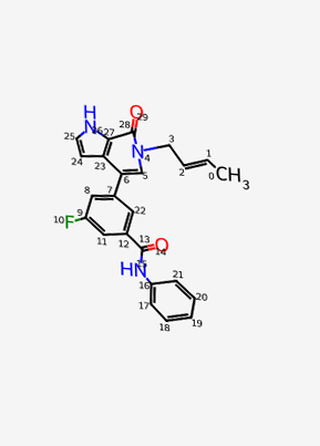 C/C=C/Cn1cc(-c2cc(F)cc(C(=O)Nc3ccccc3)c2)c2cc[nH]c2c1=O